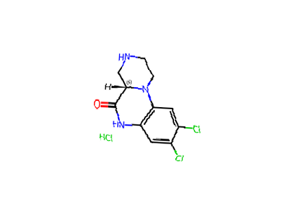 Cl.O=C1Nc2cc(Cl)c(Cl)cc2N2CCNC[C@@H]12